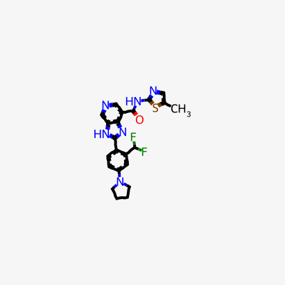 Cc1cnc(NC(=O)c2cncc3[nH]c(-c4ccc(N5CCCC5)cc4C(F)F)nc23)s1